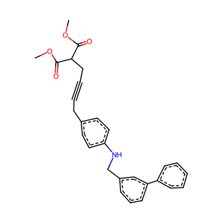 COC(=O)C(CC#CCc1ccc(NCc2cccc(-c3ccccc3)c2)cc1)C(=O)OC